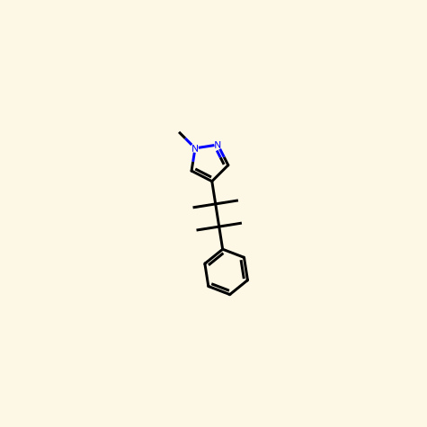 Cn1cc(C(C)(C)C(C)(C)c2ccccc2)cn1